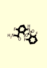 NC(=O)c1c(F)ccc(NS(=O)(=O)c2c(F)cccc2F)c1F